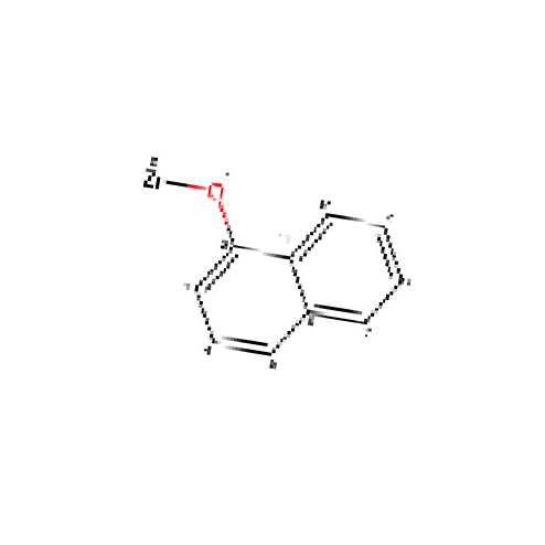 [Zr][O]c1cccc2ccccc12